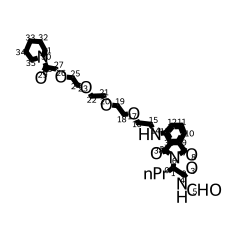 CCCC(C(=O)NC=O)N1C(=O)c2cccc(NCCOCCOCCOCCOCC(=O)N3CCCCC3)c2C1=O